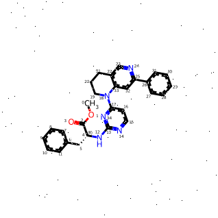 COC(=O)[C@@H](Cc1ccccc1)Nc1nccc(N2CCCc3cnc(-c4ccccc4)cc32)n1